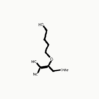 COCC(OCCCCO)=C(C#N)C#N